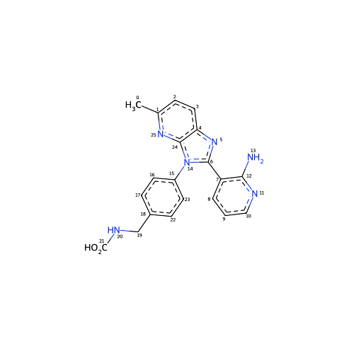 Cc1ccc2nc(-c3cccnc3N)n(-c3ccc(CNC(=O)O)cc3)c2n1